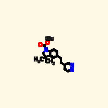 CC(C)(C)OC(=O)N1CC(C)(C)c2cc(CCc3ccnnc3)ccc21